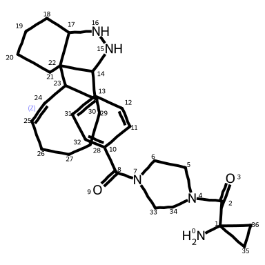 NC1(C(=O)N2CCN(C(=O)c3ccc(C4NNC5CCCCC54C4/C=C\CCCCC4)cc3)CC2)CC1